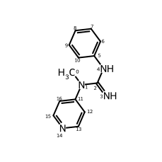 CN(C(=N)Nc1ccccc1)c1ccncc1